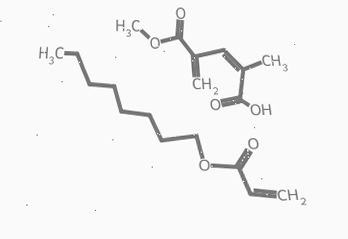 C=C(C=C(C)C(=O)O)C(=O)OC.C=CC(=O)OCCCCCCCC